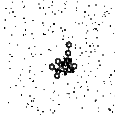 c1ccc(-c2ccc(-c3nc(-c4ccccc4)nc(-n4c5ccccc5c5c6c(c7ccccc7n6-c6ccccc6)c6sc7cncnc7c6c54)n3)cc2)cc1